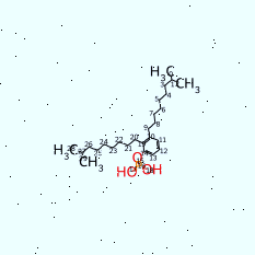 CC(C)CCCCCCCc1cccc(OP(O)O)c1CCCCCCCC(C)C